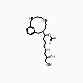 CC(=O)OC(CCCNCC(O)CO)N1CCNCCNCc2cccc(n2)C1